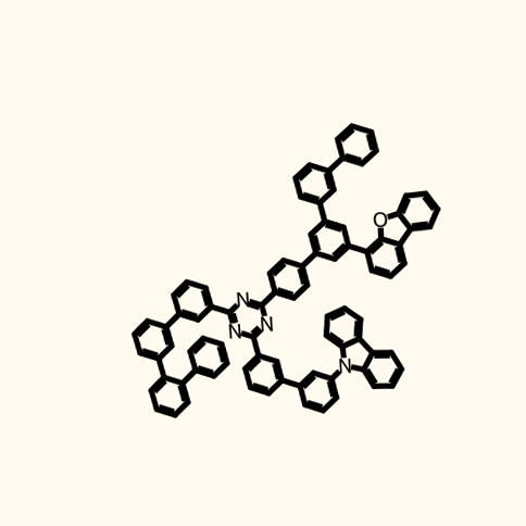 c1ccc(-c2cccc(-c3cc(-c4ccc(-c5nc(-c6cccc(-c7cccc(-c8ccccc8-c8ccccc8)c7)c6)nc(-c6cccc(-c7cccc(-n8c9ccccc9c9ccccc98)c7)c6)n5)cc4)cc(-c4cccc5c4oc4ccccc45)c3)c2)cc1